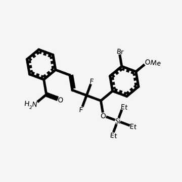 CC[Si](CC)(CC)OC(c1ccc(OC)c(Br)c1)C(F)(F)C=Cc1ccccc1C(N)=O